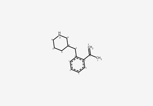 C=C(C)c1ccccc1CC1CCCNC1